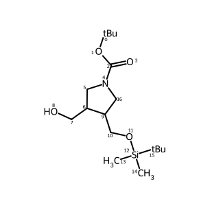 CC(C)(C)OC(=O)N1CC(CO)C(CO[Si](C)(C)C(C)(C)C)C1